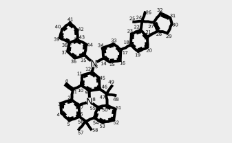 C=C1c2cccc3c2N2c4c1cc(N(c1ccc(-c5ccc6c(c5)C(C)(C)C5=C6CCC=C5)cc1)c1ccc5ccccc5c1)cc4C(C)(C)c1cccc(c12)C3(C)C